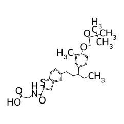 CCC(CCc1ccc2sc(C(=O)NCC(=O)O)cc2c1)c1ccc(OCC(=O)C(C)(C)C)c(C)c1